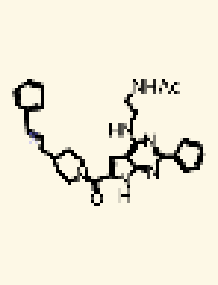 CC(=O)NCCNc1nc(-c2ccccc2)nc2[nH]c(C(=O)N3CCC(C/C=C/c4ccccc4)CC3)cc12